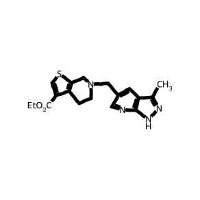 CCOC(=O)c1csc2c1CCN(Cc1cnc3[nH]nc(C)c3c1)C2